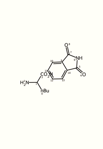 CCCCC(N)C(=O)O.O=C1NC(=O)c2ccccc21